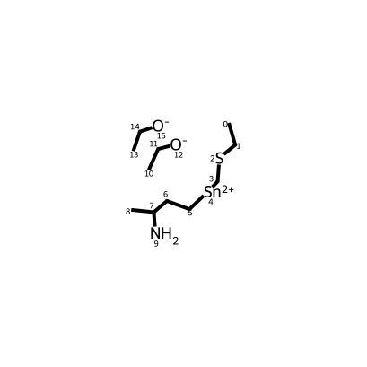 CCS[CH2][Sn+2][CH2]CC(C)N.CC[O-].CC[O-]